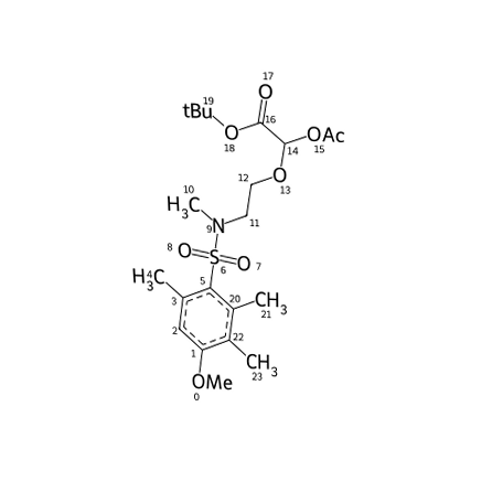 COc1cc(C)c(S(=O)(=O)N(C)CCOC(OC(C)=O)C(=O)OC(C)(C)C)c(C)c1C